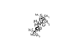 CCC(CC)S(=O)(=O)C(C)(C)C(=O)Nc1cc(C(C)(C)CO)no1